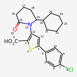 O=C(O)c1sc(-c2ccc(Cl)cc2)cc1N1C(=O)CCCC1C1CCCCC1